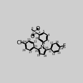 CS(=O)(=O)c1cccc(-n2c(-c3ccc(F)cc3)ccc2-c2ccc(Cl)cc2)c1